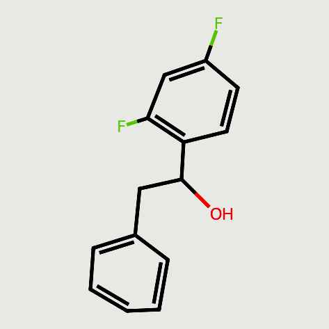 OC(Cc1ccccc1)c1ccc(F)cc1F